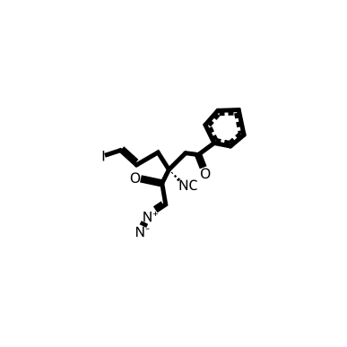 [C-]#[N+][C@](C/C=C/I)(CC(=O)c1ccccc1)C(=O)C=[N+]=[N-]